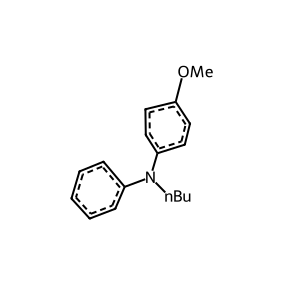 CCCCN(c1ccccc1)c1ccc(OC)cc1